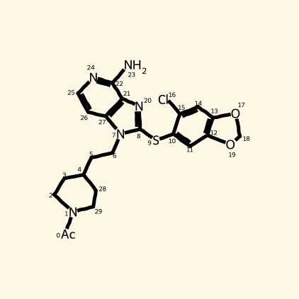 CC(=O)N1CCC(CCn2c(Sc3cc4c(cc3Cl)OCO4)nc3c(N)nccc32)CC1